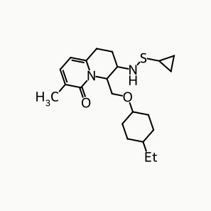 CCC1CCC(OCC2C(NSC3CC3)CCc3ccc(C)c(=O)n32)CC1